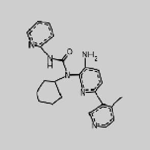 Cc1ccncc1-c1ccc(N)c(N(C(=O)Nc2ccccn2)C2CCCCC2)n1